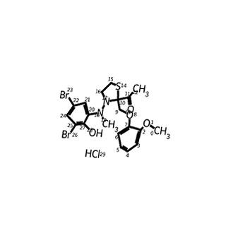 COc1ccccc1OCC1(C(C)=O)SCCN1N(C)c1cc(Br)cc(Br)c1O.Cl